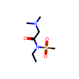 CCN(C(=O)CN(C)C)S(C)(=O)=O